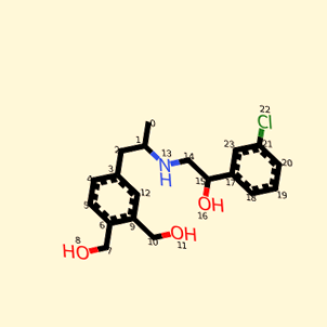 CC(Cc1ccc(CO)c(CO)c1)NCC(O)c1cccc(Cl)c1